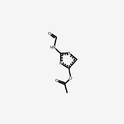 CC(=O)Oc1csc(NC=O)n1